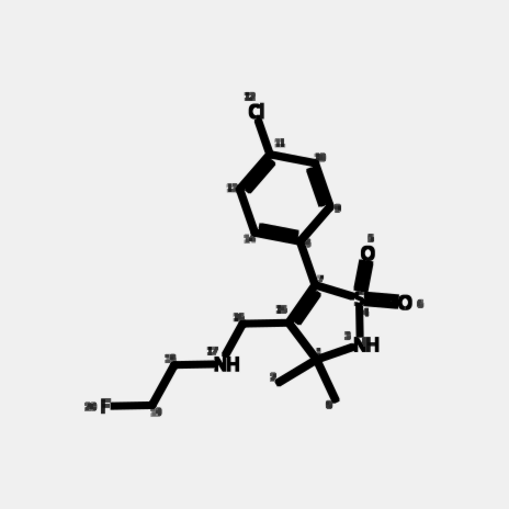 CC1(C)NS(=O)(=O)C(c2ccc(Cl)cc2)=C1CNCCF